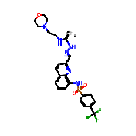 C=C(NCCN1CCOCC1)N/N=C/c1ccc2cccc(NS(=O)(=O)c3ccc(C(F)(F)F)cc3)c2n1